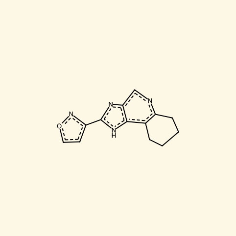 c1cc(-c2nc3cnc4c(c3[nH]2)CCCC4)no1